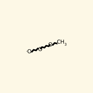 CCCCOCCCCOCCCC[O]